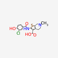 CN1CCc2c(sc(NC(=O)c3ccc(O)c(Cl)c3)c2C(=O)O)C1